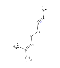 CCC/C=C/[CH]CC=C(C)C